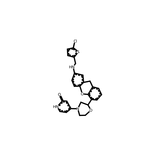 O=c1cc(N2CCOC(c3cccc4c3Oc3ccc(NCc5ccc(Cl)s5)cc3C4)C2)cc[nH]1